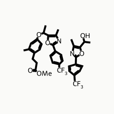 COC(=O)CCc1ccc(OC(C)c2oc(-c3ccc(C(F)(F)F)cc3)nc2C)cc1C.Cc1nc(-c2ccc(C(F)(F)F)cc2)oc1C(C)O